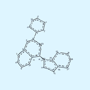 c1ccc(-c2cc3ccccc3c(-n3ccc4ccccc43)n2)cc1